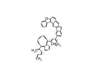 C=C/C=C\C(=C)c1ccccccc(/C(C)=C/C(=C\C)c2ccc3sc4cc5ccc6oc7ccccc7c6c5cc4c3c2)c2ccccc12